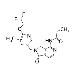 CCC(=O)Nc1nccc2c1CN(Cc1cnc(OCC(F)F)c(C)c1)C2=O